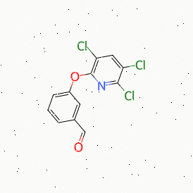 O=Cc1cccc(Oc2nc(Cl)c(Cl)cc2Cl)c1